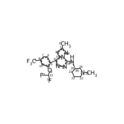 Cc1cc2c(-c3ccc(C(F)(F)F)cc3OC(F)F)nnc(N[C@@H]3CCCN(C)C3)n2n1